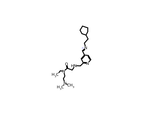 CCN(CCN(C)C)C(=O)CNCc1cc(/C=N/CCC2CCCCC2)ccn1